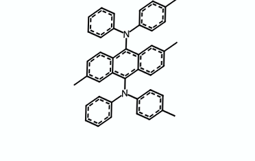 Cc1ccc(N(c2ccccc2)c2c3ccc(C)cc3c(N(c3ccccc3)c3ccc(C)cc3)c3ccc(C)cc23)cc1